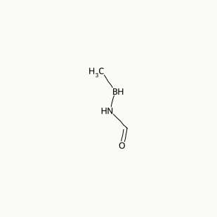 CBNC=O